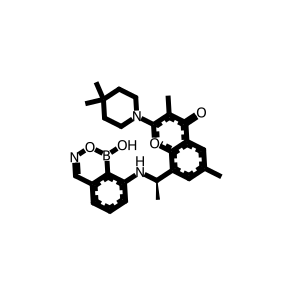 Cc1cc([C@@H](C)Nc2cccc3c2B(O)ON=C3)c2oc(N3CCC(C)(C)CC3)c(C)c(=O)c2c1